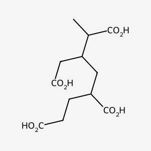 CC(C(=O)O)C(CC(=O)O)CC(CCC(=O)O)C(=O)O